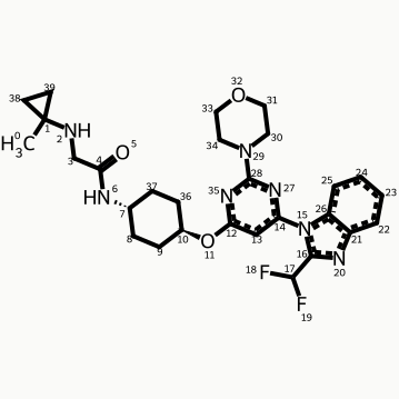 CC1(NCC(=O)N[C@H]2CC[C@H](Oc3cc(-n4c(C(F)F)nc5ccccc54)nc(N4CCOCC4)n3)CC2)CC1